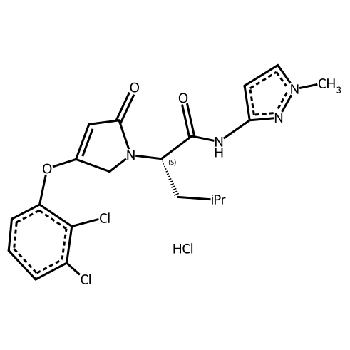 CC(C)C[C@@H](C(=O)Nc1ccn(C)n1)N1CC(Oc2cccc(Cl)c2Cl)=CC1=O.Cl